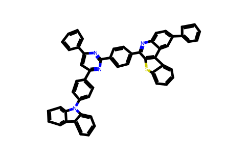 c1ccc(-c2ccc3nc(-c4ccc(-c5nc(-c6ccccc6)cc(-c6ccc(-n7c8ccccc8c8ccccc87)cc6)n5)cc4)c4sc5ccccc5c4c3c2)cc1